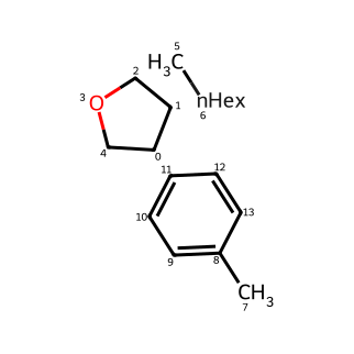 C1CCOC1.CCCCCCC.Cc1ccccc1